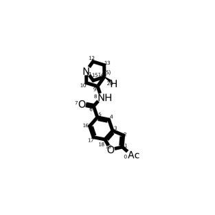 CC(=O)c1cc2cc(C(=O)NC3CN4CC[C@H]3C4)ccc2o1